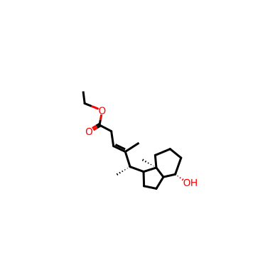 CCOC(=O)C/C=C(\C)[C@@H](C)C1CCC2[C@@H](O)CCC[C@]12C